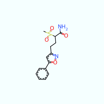 CS(=O)(=O)C(CCc1cc(-c2ccccc2)on1)C(N)=O